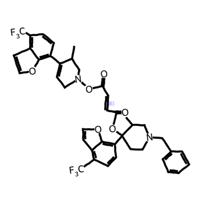 CC1CN(OC(=O)/C=C/C(=O)OC2(c3ccc(C(F)(F)F)c4ccoc34)CCN(Cc3ccccc3)CC2C)CC=C1c1ccc(C(F)(F)F)c2ccoc12